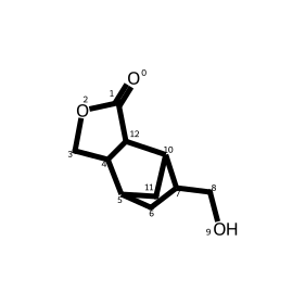 O=C1OCC2C3CC(CO)C(C3)C12